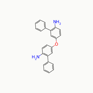 Nc1ccc(Oc2ccc(N)c(-c3ccccc3)c2)cc1-c1ccccc1